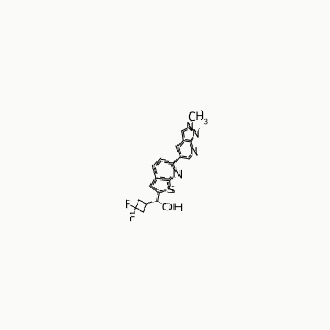 Cn1cc2cc(-c3ccc4cc(C(O)C5CC(F)(F)C5)sc4n3)cnc2n1